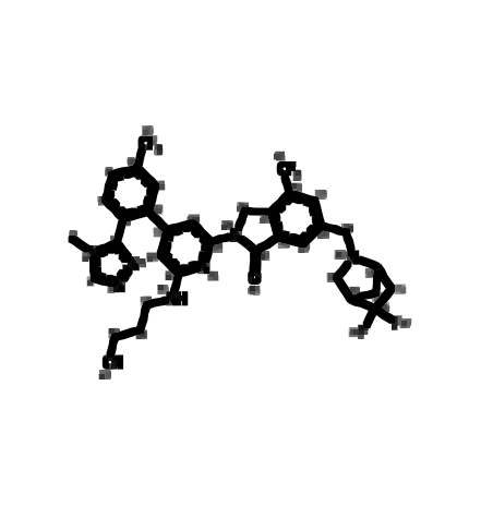 Cn1cnnc1-c1ccc(C(F)(F)F)cc1-c1cc(NCCCC#N)nc(N2Cc3c(cc(CN4CC5CC4CC5(F)F)cc3C(F)(F)F)C2=O)c1